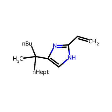 C=Cc1nc(C(C)(CCCC)CCCCCCC)c[nH]1